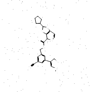 CN/C=C(\CN)c1cc(C#N)cc(CNC(=O)C2NC=CC3=C2NC(C2CCCC2)N3C)c1